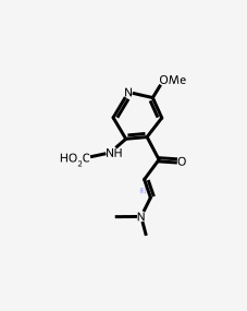 COc1cc(C(=O)/C=C/N(C)C)c(NC(=O)O)cn1